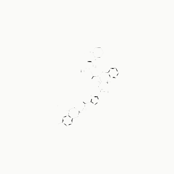 CC[C@H](C)[C@H](NC(=O)[C@H]1CCCCN1C)C(=O)N(Cc1ccccc1)[C@H](C[C@@H](O)c1nc(C(=O)N[C@H]2Cc3ccc(F)cc3[C@H](C(=O)O)C2)cs1)C(C)C